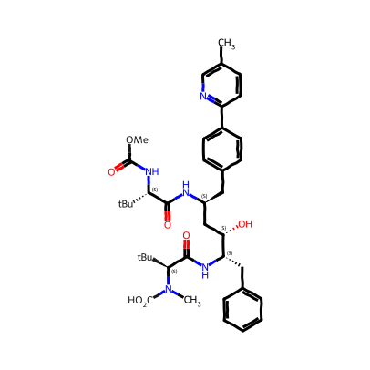 COC(=O)N[C@H](C(=O)N[C@@H](Cc1ccc(-c2ccc(C)cn2)cc1)C[C@H](O)[C@H](Cc1ccccc1)NC(=O)[C@@H](N(C)C(=O)O)C(C)(C)C)C(C)(C)C